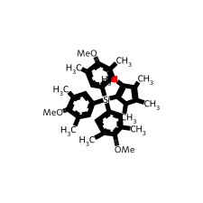 COc1c(C)cc([Si](C2=C(C)C(C)=C(C)C2C)(c2cc(C)c(OC)c(C)c2)c2cc(C)c(OC)c(C)c2)cc1C